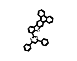 c1ccc(-c2cc(-c3ccccc3)nc(-c3cccc4c3oc3cc5c6ccccc6c6ccccc6c5cc34)n2)cc1